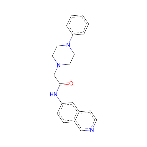 O=C(CN1CCN(c2ccccc2)CC1)Nc1ccc2cnccc2c1